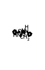 [CH2]C(NC(=O)c1ccccc1)c1cnc(Nc2ccccc2)s1